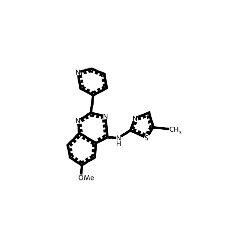 COc1ccc2nc(-c3cccnc3)nc(Nc3ncc(C)s3)c2c1